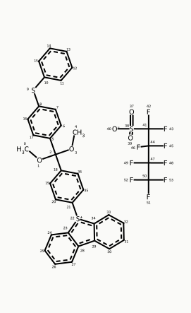 COC(OC)(c1ccc(Sc2ccccc2)cc1)c1ccc(-[s+]2c3ccccc3c3ccccc32)cc1.O=S(=O)([O-])C(F)(F)C(F)(F)C(F)(F)C(F)(F)F